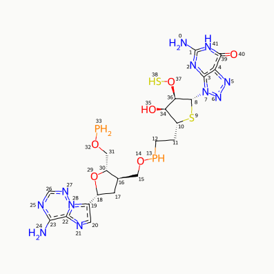 Nc1nc2c(nnn2[C@@H]2S[C@H](CCPOC[C@H]3C[C@H](c4cnc5c(N)ncnn45)O[C@@H]3COP)[C@@H](O)[C@H]2OS)c(=O)[nH]1